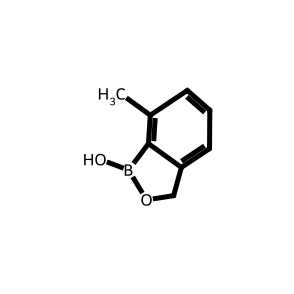 Cc1cccc2c1B(O)OC2